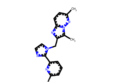 Cc1ccc2nc(Cn3ccnc3-c3cccc(C#N)n3)c(C)n2n1